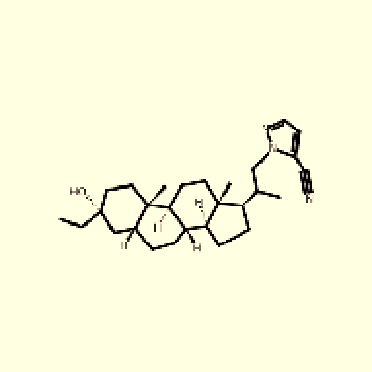 CC[C@@]1(O)CC[C@@]2(C)[C@H](CC[C@@H]3[C@@H]2CC[C@]2(C)[C@@H](C(C)Cn4nccc4C#N)CC[C@@H]32)C1